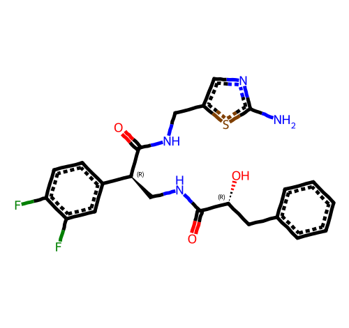 Nc1ncc(CNC(=O)[C@@H](CNC(=O)[C@H](O)Cc2ccccc2)c2ccc(F)c(F)c2)s1